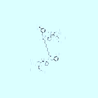 CN[C@@H](C)C(=O)NC(C(=O)N1CCC[C@H]1CN(Cc1cccc(C)c1)C(=O)CCCCCCCCC(=O)N(Cc1cccc(C(F)(F)F)c1)C[C@@H]1CCCN1C(=O)[C@@H](NC(=O)[C@H](C)NC)C(C)(C)C)C(C)(C)C